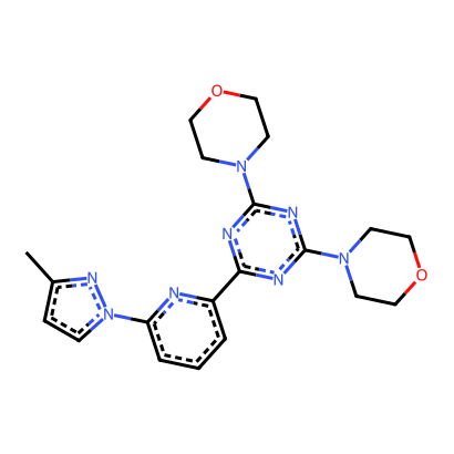 Cc1ccn(-c2cccc(-c3nc(N4CCOCC4)nc(N4CCOCC4)n3)n2)n1